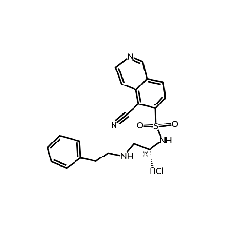 C[C@H](CNCCc1ccccc1)NS(=O)(=O)c1ccc2cnccc2c1C#N.Cl